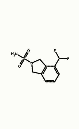 NS(=O)(=O)N1Cc2cccc(C(F)F)c2C1